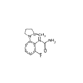 C[C@@H]1CCCN1c1cccc(F)c1NC(N)=O